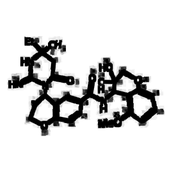 CCC1(C)CC(=O)N([C@@H]2CCOc3ccc(C(=O)NC4c5c(OC)cccc5OCC4(C)O)cc32)C(=N)N1